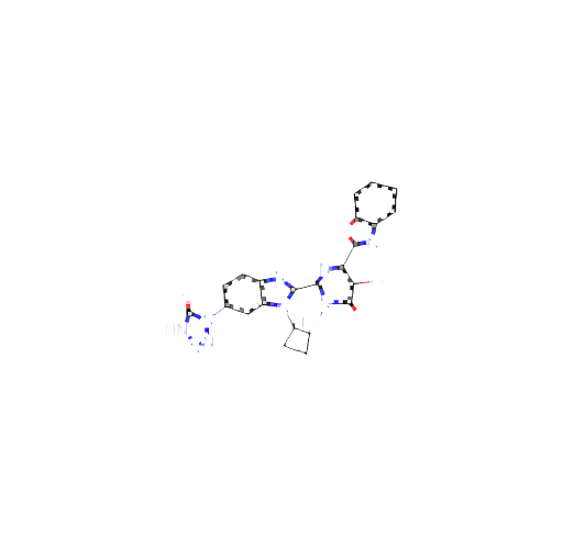 Cn1c(-c2nc3ccc(-n4nn[nH]c4=O)cc3n2C2CCC2)nc(-c2nc3ccccc3o2)c(O)c1=O